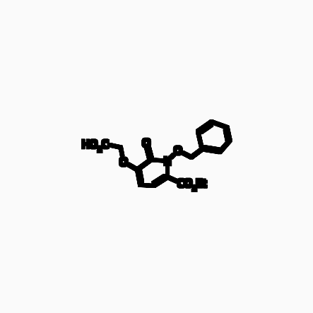 CCOC(=O)c1ccc(OCC(=O)O)c(=O)n1OCc1ccccc1